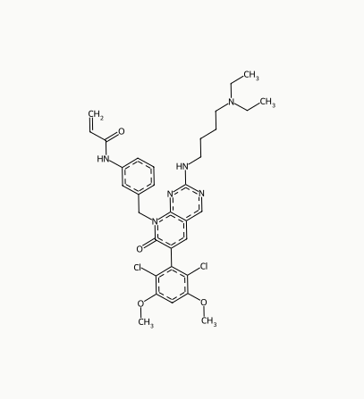 C=CC(=O)Nc1cccc(Cn2c(=O)c(-c3c(Cl)c(OC)cc(OC)c3Cl)cc3cnc(NCCCCN(CC)CC)nc32)c1